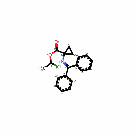 CC(Cl)OC(=O)C1(N=C(c2ccccc2)c2ccccc2)CC1